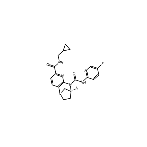 O=C(NCC1CC1)c1ccc2c(n1)N(C(=O)Nc1ccc(F)cn1)[C@H]1CCN2C1